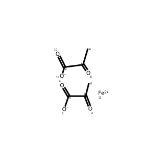 CC(=O)C(=O)[O-].CC(=O)C(=O)[O-].[Fe+2]